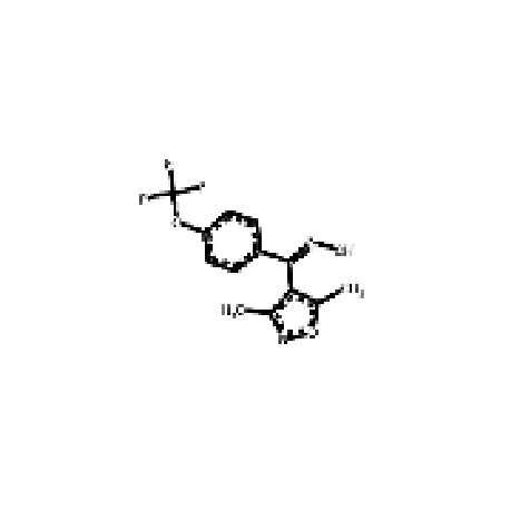 Cc1noc(C)c1C(=NO)c1ccc(OC(F)(F)F)cc1